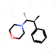 C[C@H]([C@@H](C)c1ccccc1)N1CCOCC1